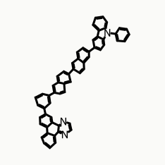 c1ccc(-n2c3ccccc3c3cc(-c4ccc5cc(-c6ccc7cc(-c8cccc(-c9ccc%10c%11ccccc%11c%11nccnc%11c%10c9)c8)ccc7c6)ccc5c4)ccc32)cc1